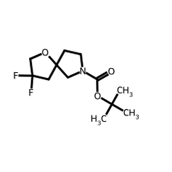 CC(C)(C)OC(=O)N1CCC2(C1)CC(F)(F)CO2